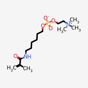 C=C(C)C(=O)NCCCCCCOP(=O)([O-])OCC[N+](C)(C)C